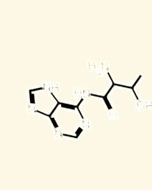 CC(O)C(N)C(=O)Nc1ncnc2nc[nH]c12